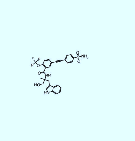 CC(CO)(Cc1c[nH]c2ccccc12)NC(=O)c1cc(C#Cc2ccc(S(N)(=O)=O)cc2)ccc1OC(F)(F)F